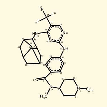 CN1CCC(N(C)C(=O)c2ccc(Nc3ncc(C(F)(F)F)c(NC4C5CC6CC(C5)CC4C6)n3)cc2)CC1